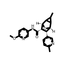 COc1ccc(NC(=O)[C@H]2[C@@H](c3ccc(C)nc3)[C@H]3O[C@@H]2C2C(C)C23)cn1